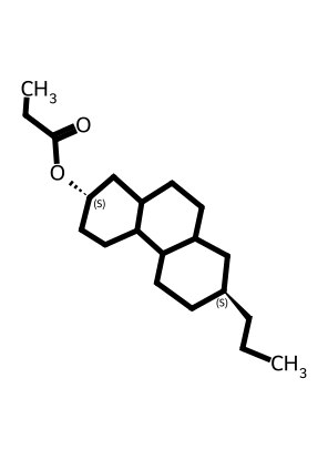 CCC[C@H]1CCC2C(CCC3C[C@@H](OC(=O)CC)CCC32)C1